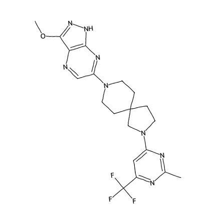 COc1n[nH]c2nc(N3CCC4(CCN(c5cc(C(F)(F)F)nc(C)n5)C4)CC3)cnc12